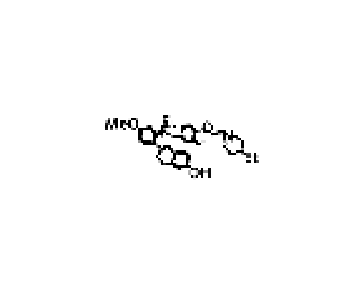 CCC1CCN(CCOc2ccc(CN(CC)c3cc(OC)ccc3C3CCc4cc(O)ccc4C3)cc2F)CC1